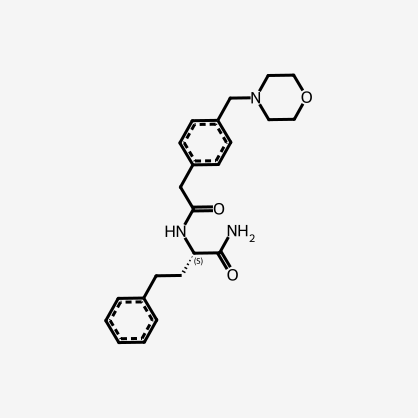 NC(=O)[C@H](CCc1ccccc1)NC(=O)Cc1ccc(CN2CCOCC2)cc1